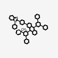 CC1(c2cc(-c3ccccc3)cc(-c3c4ccccc4c(-c4cc(-c5ccccc5)cc(-c5ccccc5)c4)c4ccc(-c5ccc(-c6nc7ccccc7n6-c6ccccc6)cc5)cc34)c2)C=CC=CC1